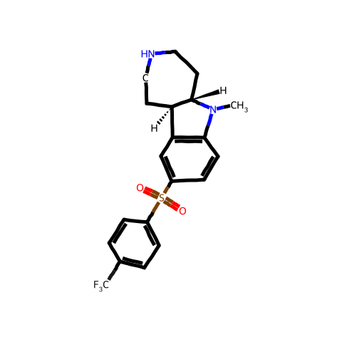 CN1c2ccc(S(=O)(=O)c3ccc(C(F)(F)F)cc3)cc2[C@H]2CCNCC[C@@H]21